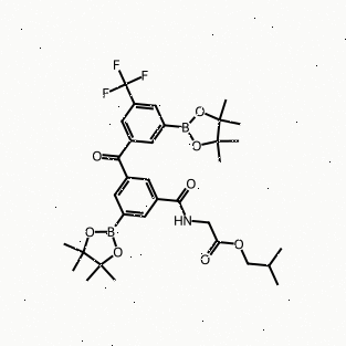 CC(C)COC(=O)CNC(=O)c1cc(B2OC(C)(C)C(C)(C)O2)cc(C(=O)c2cc(B3OC(C)(C)C(C)(C)O3)cc(C(F)(F)F)c2)c1